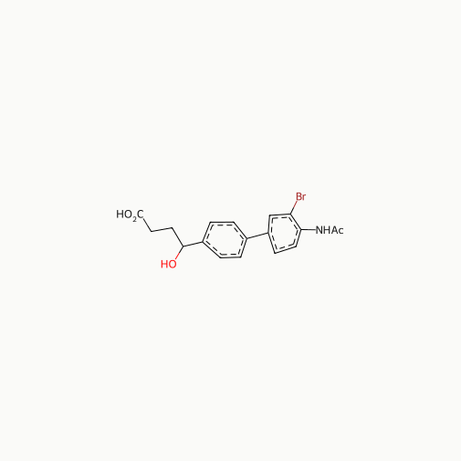 CC(=O)Nc1ccc(-c2ccc(C(O)CCC(=O)O)cc2)cc1Br